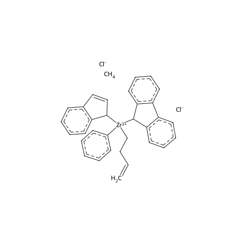 C.C=CC[CH2][Zr+2]([c]1ccccc1)([CH]1C=Cc2ccccc21)[CH]1c2ccccc2-c2ccccc21.[Cl-].[Cl-]